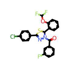 O=C(c1cccc(F)c1)N1N=C(c2ccc(Cl)cc2)SC1c1ccccc1OC(F)F